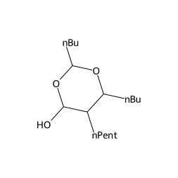 CCCCCC1C(O)OC(CCCC)OC1CCCC